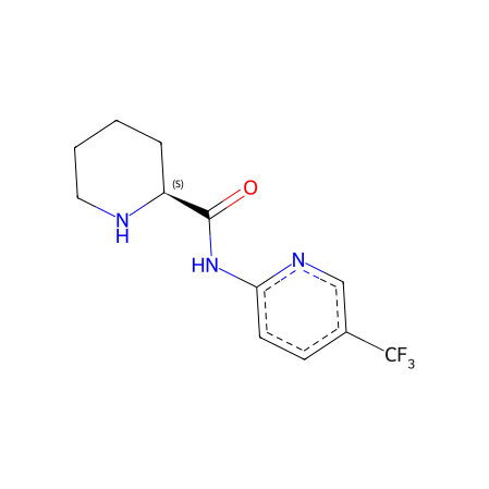 O=C(Nc1ccc(C(F)(F)F)cn1)[C@@H]1CCCCN1